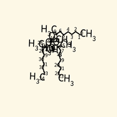 CCCCCCCC(C)(C)OP(=O)(OC(C)(C)CCCCCCC)OC(C)(C)CCCCCCC